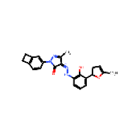 CC1=NN(c2ccc3c(c2)CC3)C(=O)/C1=N\Nc1cccc(C2CC=C(C(=O)O)O2)c1O